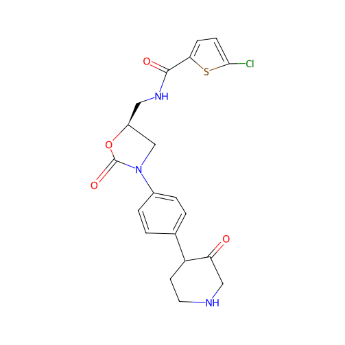 O=C(NC[C@H]1CN(c2ccc(C3CCNCC3=O)cc2)C(=O)O1)c1ccc(Cl)s1